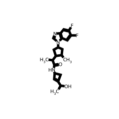 CC(O)C1=CC(NC(=O)C(C)C2CC(n3cnc4cc(F)c(F)cc43)CC2C)C1